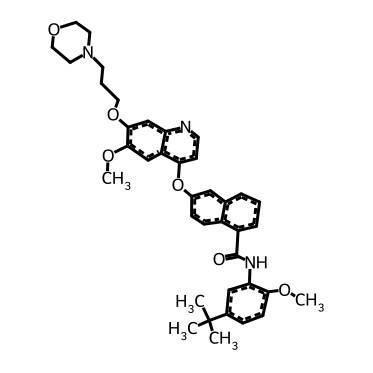 COc1ccc(C(C)(C)C)cc1NC(=O)c1cccc2cc(Oc3ccnc4cc(OCCCN5CCOCC5)c(OC)cc34)ccc12